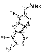 CCCCCCOc1ccc2c(sc3c(F)c(C(F)(F)F)ccc32)c1F